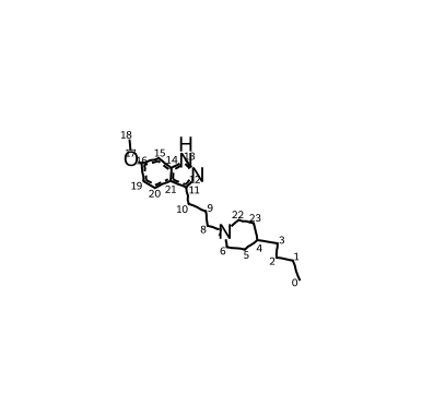 CCCCC1CCN(CCCc2n[nH]c3cc(OC)ccc23)CC1